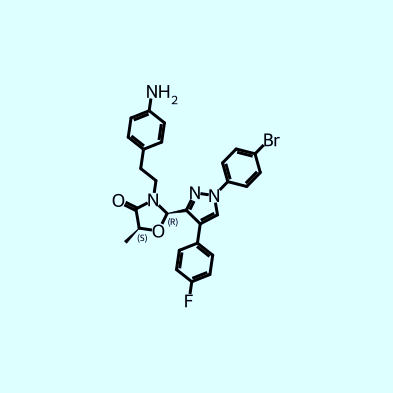 C[C@@H]1O[C@H](c2nn(-c3ccc(Br)cc3)cc2-c2ccc(F)cc2)N(CCc2ccc(N)cc2)C1=O